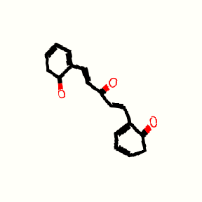 O=C(C=CC1=CC=CCC1=O)C=CC1=CC=CCC1=O